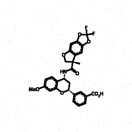 COc1ccc2c(c1)O[C@@H](c1cccc(C(=O)O)c1)C[C@H]2NC(=O)[C@]1(C)COc2cc3c(cc21)OC(F)(F)O3